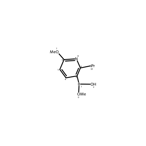 COB(O)c1ccc(OC)nc1C(C)C